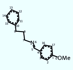 COc1ccc(C=NCCCc2ccccc2)cc1